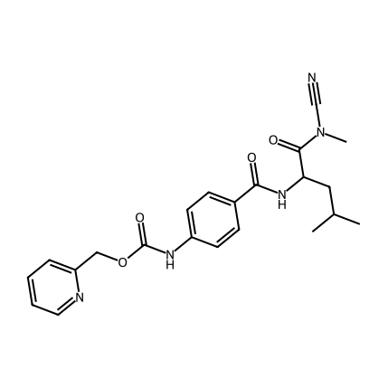 CC(C)CC(NC(=O)c1ccc(NC(=O)OCc2ccccn2)cc1)C(=O)N(C)C#N